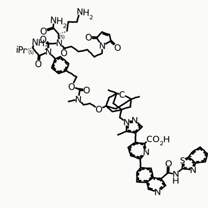 Cc1c(-c2ccc(-c3ccc4cncc(C(=O)Nc5nc6ccccc6s5)c4c3)nc2C(=O)O)cnn1CC12CC3(C)CC(C)(C1)CC(OCCN(C)C(=O)OCc1ccc(N(C(=O)[C@@H](N)C(C)C)C(=O)N(C(=O)CCCCCN4C(=O)C=CC4=O)[C@@H](CCCN)C(N)=O)cc1)(C3)C2